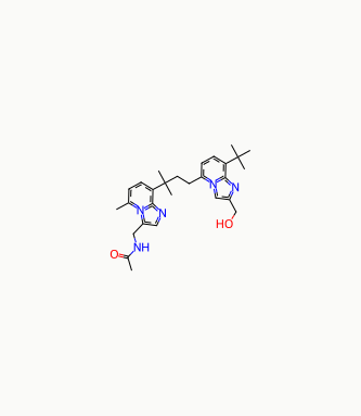 CC(=O)NCc1cnc2c(C(C)(C)CCc3ccc(C(C)(C)C)c4nc(CO)cn34)ccc(C)n12